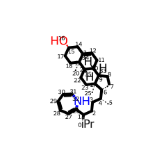 CC(C)C(CC[C@@H](C)[C@H]1CC[C@H]2[C@@H]3CC=C4C[C@@H](O)CC[C@]4(C)[C@H]3CC[C@]12C)C1=CC=CC=CN1